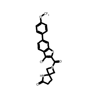 O=C1CCC2(CN(C(=O)c3sc4cc(-c5ccc(OC(F)(F)F)cc5)ccc4c3Cl)C2)N1